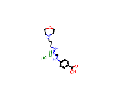 Cl.Cl.O=C(O)c1ccc(NC=NNCCCN2CCOCC2)cc1